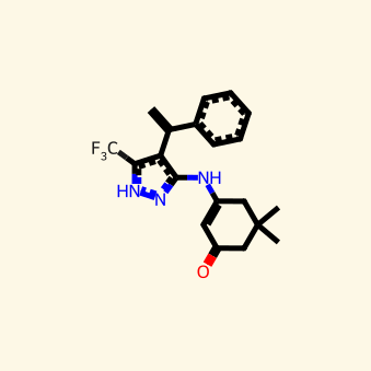 C=C(c1ccccc1)c1c(NC2=CC(=O)CC(C)(C)C2)n[nH]c1C(F)(F)F